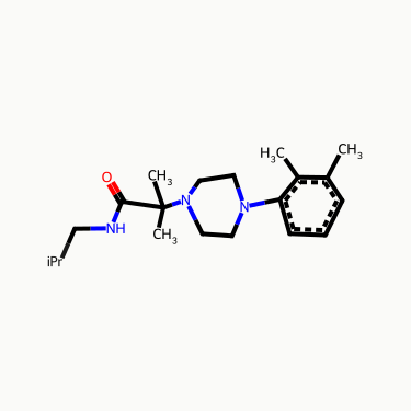 Cc1cccc(N2CCN(C(C)(C)C(=O)NCC(C)C)CC2)c1C